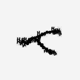 CC(C)CCCC(C)C1CCC2C3CC=C4CC(OCCN(CCNC(=O)CCOCCOCCOCCOCCNC(=O)OC(C)(C)C)CCNC(=O)CCOCCOCCOCCOCCNC(=O)OC(C)(C)C)CCC4(C)C3CCC12C